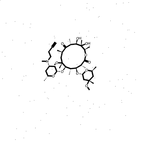 C#CCCN(C)[C@@H]1C[C@H](O[C@@H]2[C@@H](C)[C@H](O[C@H]3C[C@@](C)(OC)C[C@H](C)O3)[C@@H](C)C(=O)O[C@H](I)[C@@](C)(O)[C@H](O)[C@@H](C)C(=O)[C@H](C)C[C@@]2(C)OC)O[C@H](C)C1